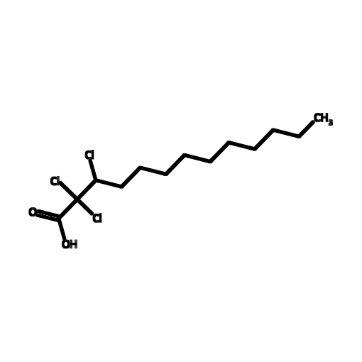 CCCCCCCCCCC(Cl)C(Cl)(Cl)C(=O)O